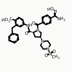 CS(=O)(=O)N1CCN([C@H]2C[C@@H](C(=O)Nc3ccc(C(=O)O)c(Cc4ccccc4)c3)N(C(=O)c3ccc(/C(N)=N\O)cc3)C2)CC1